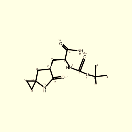 CC(C)(C)OC(=O)N[C@@H](C[C@@H]1CC2(CC2)NC1=O)C(N)=O